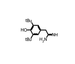 CC(C)(C)c1cc(CC(=N)N)cc(C(C)(C)C)c1O